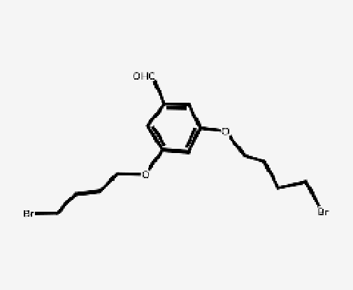 O=Cc1cc(OCCCCBr)cc(OCCCCBr)c1